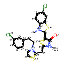 CCn1c(=O)/c(=C2\Sc3cc(Cl)ccc3N2C)s/c1=C\c1scc[n+]1CCc1cccc(Cl)c1